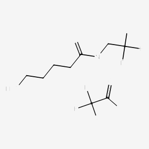 CCCCCC(=O)NCC(F)(F)F.O=C(O)C(F)(F)F